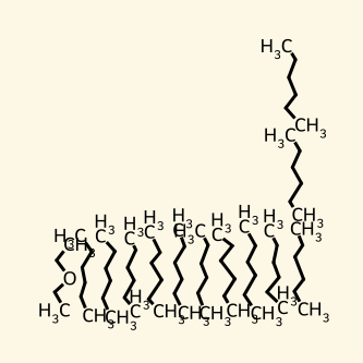 CCCCCC.CCCCCC.CCCCCC.CCCCCC.CCCCCC.CCCCCC.CCCCCC.CCCCCC.CCCCCC.CCCCCC.CCCCCC.CCCCCC.CCOCC